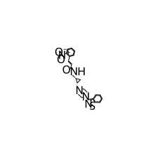 O=C(/C=C/c1ccccc1[N+](=O)[O-])NC[C@H]1C[C@@H]1CN1CCN(c2nsc3ccccc23)CC1